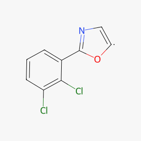 Clc1cccc(-c2nc[c]o2)c1Cl